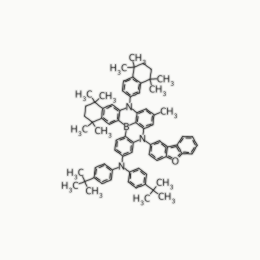 Cc1cc2c3c(c1)N(c1ccc4c(c1)C(C)(C)CCC4(C)C)c1cc4c(cc1B3c1ccc(N(c3ccc(C(C)(C)C)cc3)c3ccc(C(C)(C)C)cc3)cc1N2c1ccc2oc3ccccc3c2c1)C(C)(C)CCC4(C)C